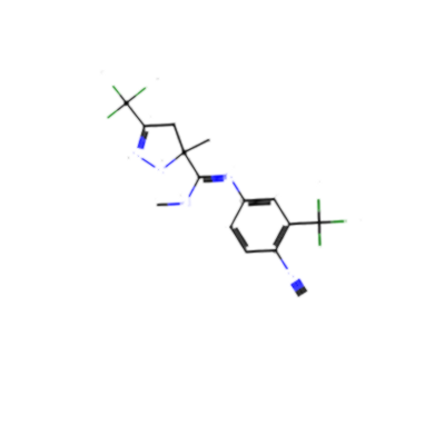 [C-]#[N+]c1ccc(/N=C(\NC)C2(C)CC(C(F)(F)F)=NN2)cc1C(F)(F)F